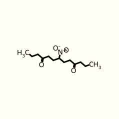 CCCC(=O)CCC(CCC(=O)CCC)[N+](=O)[O-]